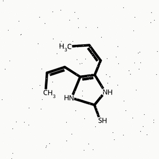 C/C=C\C1=C(/C=C\C)NC(S)N1